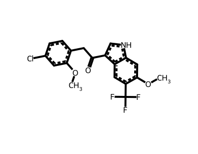 COc1cc(Cl)ccc1CC(=O)c1c[nH]c2cc(OC)c(C(F)(F)F)cc12